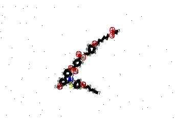 C=CC(=O)OCCCCCCOc1ccc(CCOC(=O)C2CCC(C(=O)Oc3ccc4c(c3)nc(Sc3ccc(OCCCCCC)cc3)c3cc(OC)ccc34)CC2)cc1